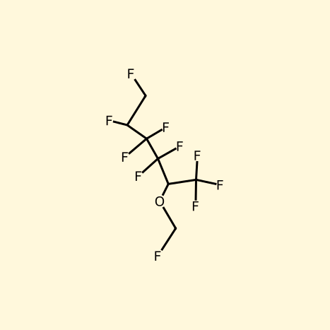 FCOC(C(F)(F)F)C(F)(F)C(F)(F)C(F)CF